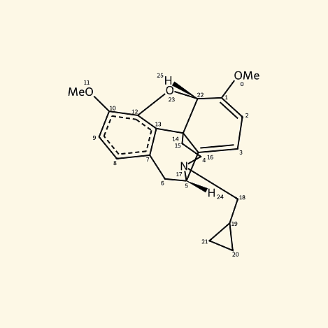 COC1=CC=C2[C@@H]3Cc4ccc(OC)c5c4C2(CCN3CC2CC2)[C@@H]1O5